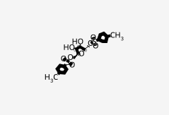 Cc1ccc(S(=O)(=O)OC[C@@H]2O[C@@H](COS(=O)(=O)c3ccc(C)cc3)[C@@H](O)[C@@H]2O)cc1